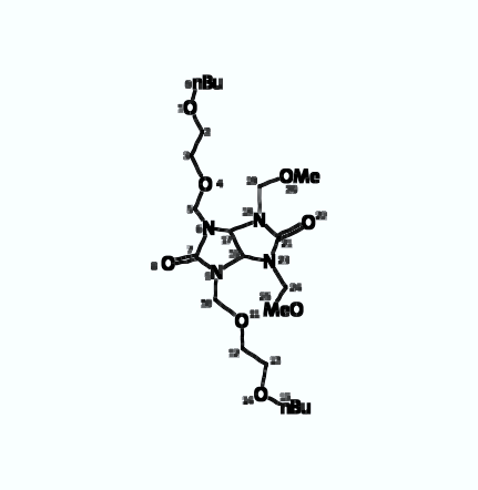 CCCCOCCOCN1C(=O)N(COCCOCCCC)C2C1N(COC)C(=O)N2COC